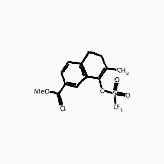 COC(=O)c1ccc2c(c1)C(OS(=O)(=O)C(F)(F)F)=C(C)CC2